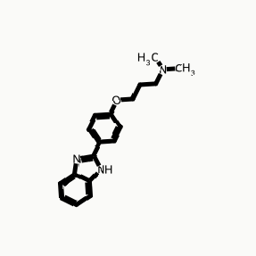 CN(C)CCCOc1ccc(-c2nc3ccccc3[nH]2)cc1